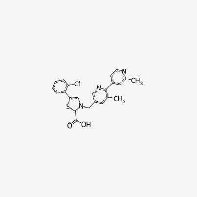 Cc1cc(-c2ncc(CN3C=C(c4ccccc4Cl)SC3C(=O)O)cc2C)ccn1